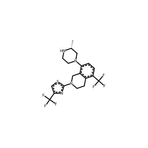 C[C@@H]1CN(c2ccc(C(F)(F)F)c3c2CN(c2nc(C(F)(F)F)cs2)CC3)CCN1